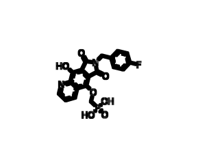 O=C1c2c(c(O)c3ncccc3c2OCP(=O)(O)O)C(=O)N1Cc1ccc(F)cc1